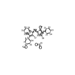 CC(=O)[O-].COc1ccc(C2=C(C)/C(=N\c3cn(C)n(-c4ccccc4)c3=O)c3cccc[n+]32)cc1